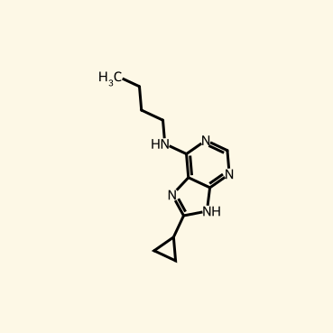 CCCCNc1ncnc2[nH]c(C3CC3)nc12